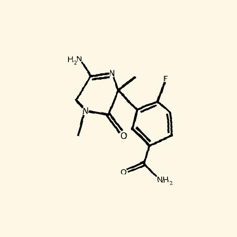 CN1CC(N)=NC(C)(c2cc(C(N)=O)ccc2F)C1=O